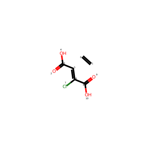 C=C.O=C(O)/C=C(\Cl)C(=O)O